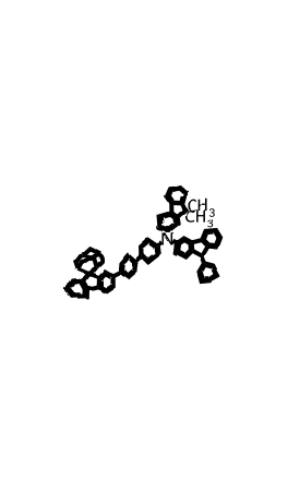 CC1(C)c2ccccc2-c2ccc(N(c3ccc(-c4ccc(-c5ccc6c(c5)C5(c7ccccc7-6)C6CC7CC(C6)CC5C7)cc4)cc3)c3ccc4c(c3)-c3ccccc3C4c3ccccc3)cc21